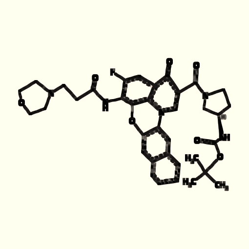 CC(C)(C)OC(=O)N[C@@H]1CCN(C(=O)c2cn3c4c(c(NC(=O)CCN5CCOCC5)c(F)cc4c2=O)Oc2cc4ccccc4cc2-3)C1